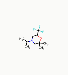 CC(C)N1CC(C(F)(F)F)OC(C)(C)C1